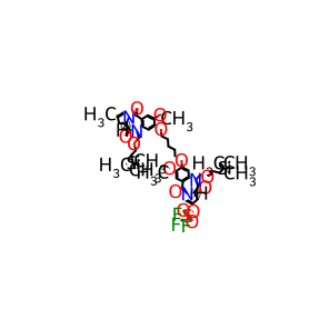 COc1cc2c(cc1OCCCCCOc1cc3c(cc1OC)C(=O)N1C=C(OS(=O)(=O)C(F)(F)F)C[C@H]1C(=O)N3COCC[Si](C)(C)C)N(COCC[Si](C)(C)C)C(=O)[C@@H]1CC(C)=CN1C2=O